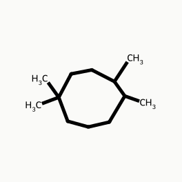 CC1CCCC(C)(C)CCC1C